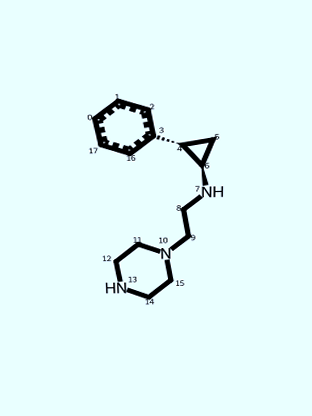 c1ccc([C@@H]2C[C@H]2NCCN2CCNCC2)cc1